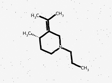 CCCN1CC[C@H](C)C(=C(C)C)C1